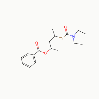 CCN(CC)C(=O)SC(C)CC(C)OC(=O)c1ccccc1